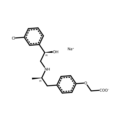 C[C@H](Cc1ccc(OCC(=O)[O-])cc1)NC[C@H](O)c1cccc(Cl)c1.[Na+]